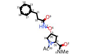 CNC(=O)[C@@H]1C[C@@H](ONC(=O)CCc2ccccc2)CN1C(C)=O